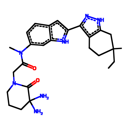 CCC1(C)CCc2c(-c3cc4ccc(N(C)C(=O)CN5CCCC(N)(N)C5=O)cc4[nH]3)n[nH]c2C1